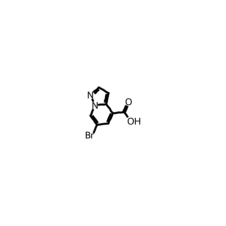 O=C(O)c1cc(Br)cn2nccc12